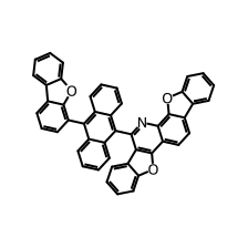 c1ccc2c(c1)oc1c(-c3c4ccccc4c(-c4nc5c(ccc6c7ccccc7oc65)c5oc6ccccc6c45)c4ccccc34)cccc12